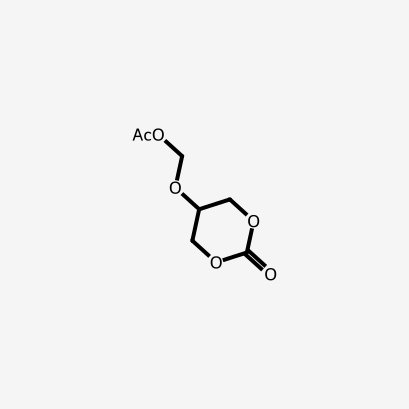 CC(=O)OCOC1COC(=O)OC1